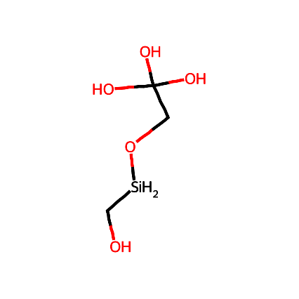 OC[SiH2]OCC(O)(O)O